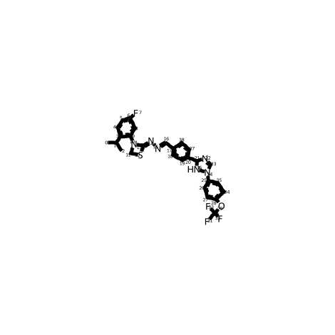 CC(C)c1ccc(F)cc1N1CS/C1=N\N=C\c1ccc(C2N=CN(c3ccc(OC(F)(F)F)cc3)N2)cc1